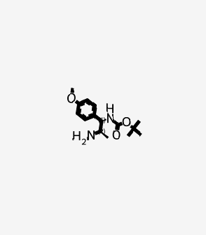 COc1ccc([C@H](NC(=O)OC(C)(C)C)[C@@H](C)N)cc1